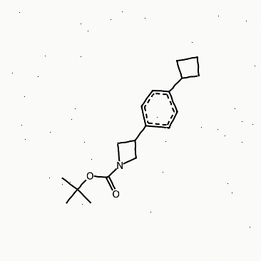 CC(C)(C)OC(=O)N1CC(c2ccc(C3CCC3)cc2)C1